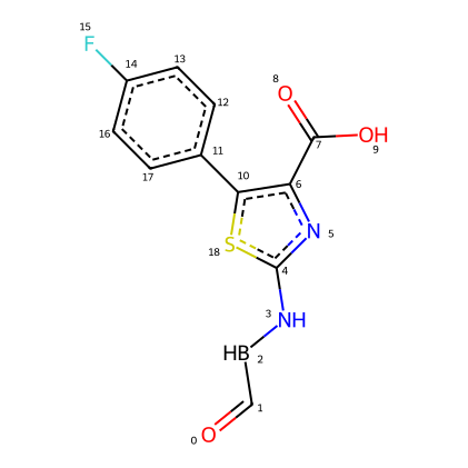 O=CBNc1nc(C(=O)O)c(-c2ccc(F)cc2)s1